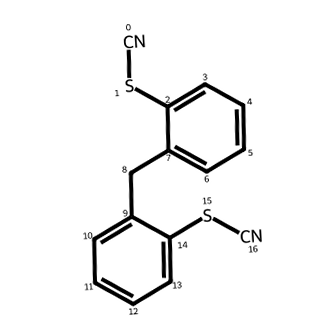 N#CSc1ccccc1Cc1ccccc1SC#N